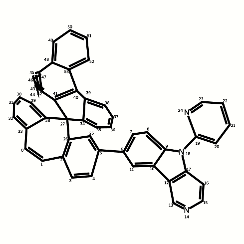 C1=Cc2ccc(-c3ccc4c(c3)c3cnccc3n4-c3ccccn3)cc2C2(c3ccccc31)c1ccccc1-c1c2c2ccccc2c2ccccc12